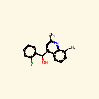 Cc1cccc2c(C(O)c3ccccc3Cl)cc(C(F)(F)F)nc12